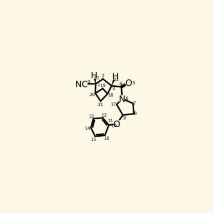 N#C[C@@H]1C[C@H](C(=O)N2CCC(Oc3ccccc3)C2)C2CC1C2